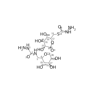 NNC(=O)NCC1O[C@H](O[C@H]2OC(CSC(=O)NN)[C@@H](O)[C@H](O)C2O)C(O)[C@@H](O)[C@@H]1O